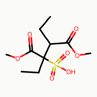 CCC(C(=O)OC)C(CC)(C(=O)OC)S(=O)(=O)O